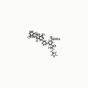 CCn1nc(-c2cccc(-c3cc(C(=O)NCCN4CCCC4)cc(C(=O)OC)c3)c2)cc(NC(=O)Nc2c(Cl)cncc2Cl)c1=O